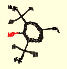 CCC(C)(CC)c1cc(C)cc(C(C)(CC)CC)c1O